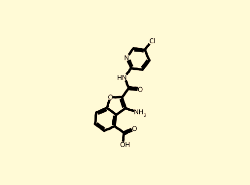 Nc1c(C(=O)Nc2ccc(Cl)cn2)oc2cccc(C(=O)O)c12